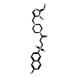 CC/N=c1\scc(CN2CCN(C(=O)CCS(=O)(=O)c3ccc4cc(Cl)ccc4c3)CC2)n1CC